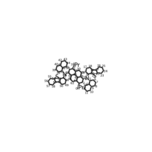 CC(C)c1cc(N(c2cccc3ccccc23)c2cccc3c2sc2ccccc23)c2ccc3c(C(C)C)cc(N(c4cccc5ccccc45)c4cccc5c4sc4ccccc45)c4ccc1c2c34